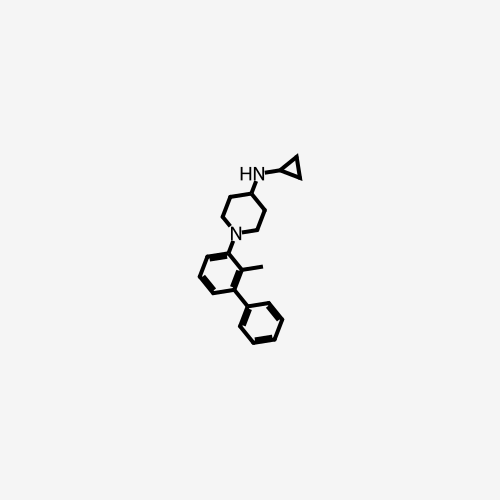 Cc1c(-c2ccccc2)cccc1N1CCC(NC2CC2)CC1